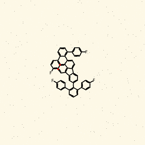 Fc1ccc(-c2cccc(-c3ccc(F)cc3)c2-c2ccc3c(c2)-c2cccc4c(-c5c(-c6ccc(F)cc6)cccc5-c5ccc(F)cc5)ccc-3c24)cc1